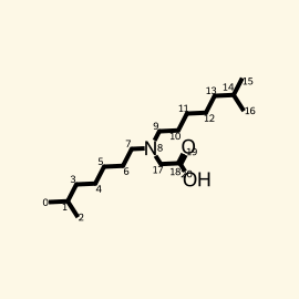 CC(C)CCCCCN(CCCCCC(C)C)CC(=O)O